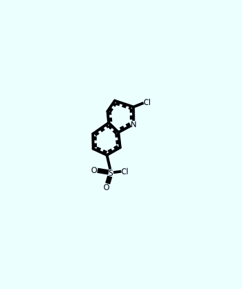 O=S(=O)(Cl)c1ccc2ccc(Cl)nc2c1